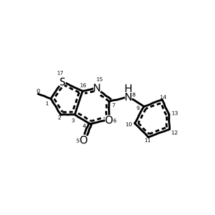 Cc1cc2c(=O)oc(Nc3ccccc3)nc2s1